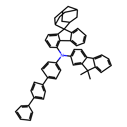 CC1(C)c2ccccc2-c2ccc(N(c3ccc(-c4ccc(-c5ccccc5)cc4)cc3)c3cccc4c3-c3ccccc3C43C4CCC5CC(C4)CC3C5)cc21